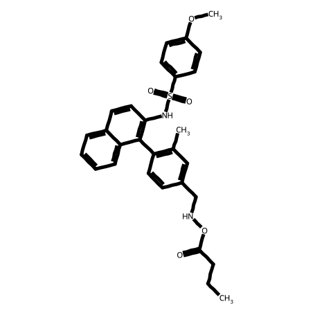 CCCC(=O)ONCc1ccc(-c2c(NS(=O)(=O)c3ccc(OC)cc3)ccc3ccccc23)c(C)c1